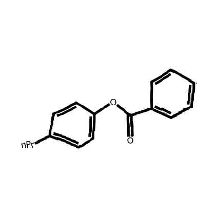 CCCc1ccc(OC(=O)c2cc[c]cc2)cc1